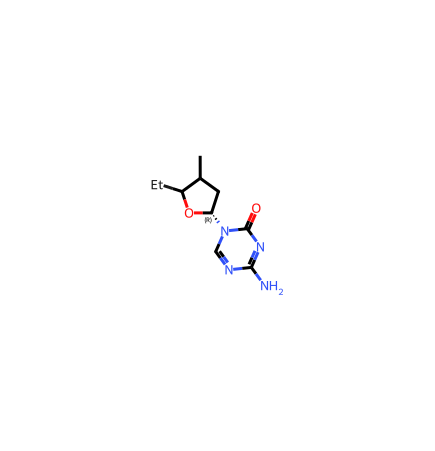 CCC1O[C@@H](n2cnc(N)nc2=O)CC1C